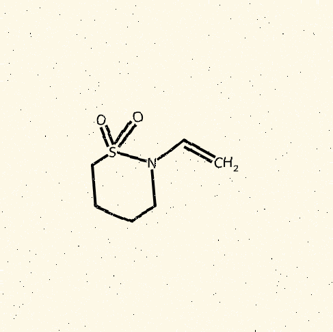 C=CN1CCCCS1(=O)=O